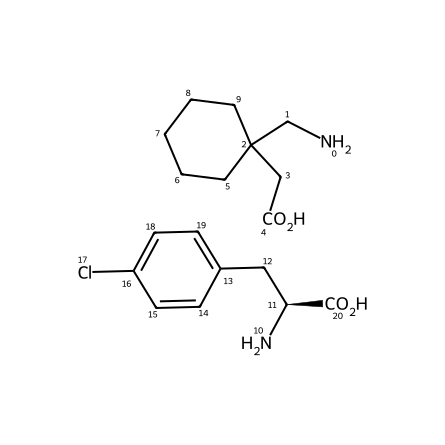 NCC1(CC(=O)O)CCCCC1.N[C@@H](Cc1ccc(Cl)cc1)C(=O)O